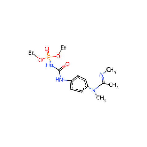 CCOP(=O)(NC(=O)Nc1ccc(N(C)C(C)=NC)cc1)OCC